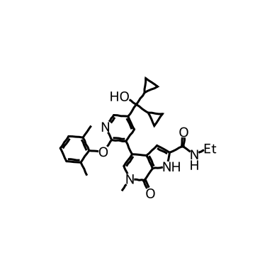 CCNC(=O)c1cc2c(-c3cc(C(O)(C4CC4)C4CC4)cnc3Oc3c(C)cccc3C)cn(C)c(=O)c2[nH]1